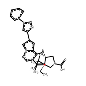 CC[C@@]1(C(C)(C)C)CN(C(=O)O)C[C@H]1Nc1c(C(N)=O)cnn2cc(-c3cn(-c4ccccc4)nn3)cc12